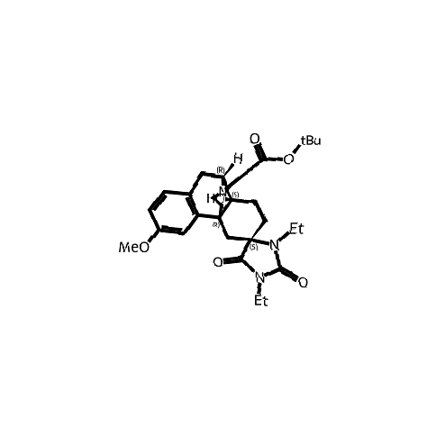 CCN1C(=O)N(CC)[C@]2(CC[C@@]3(O)[C@H]4Cc5ccc(OC)cc5[C@@]3(CCN4C(=O)OC(C)(C)C)C2)C1=O